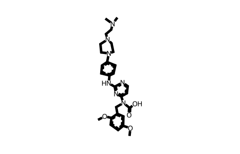 COc1ccc(OC)c(CN(C(=O)O)c2ccnc(Nc3ccc(N4CCN(CCN(C)C)CC4)cc3)n2)c1